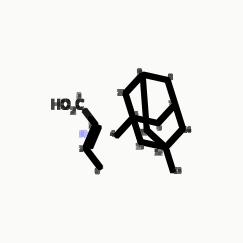 C/C=C/C(=O)O.CC12CC3CC(C1)CC(C)(C3)C2